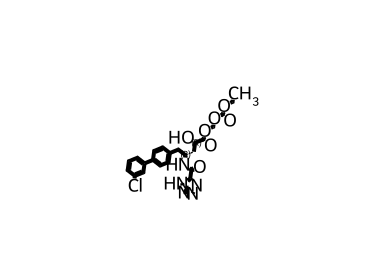 CCOC(=O)OCOC(=O)[C@H](O)C[C@@H](Cc1ccc(-c2cccc(Cl)c2)cc1)NC(=O)c1nnn[nH]1